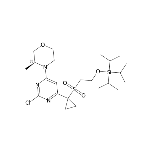 CC(C)[Si](OCCS(=O)(=O)C1(c2cc(N3CCOC[C@@H]3C)nc(Cl)n2)CC1)(C(C)C)C(C)C